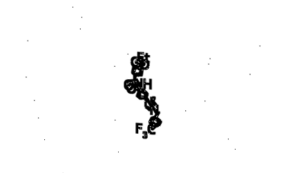 CCS(=O)(=O)c1ccc([C@H](CO)NC(=O)c2ccc(N3CCN(Cc4ccc(C(F)(F)F)cc4)CC3C)cc2)cc1